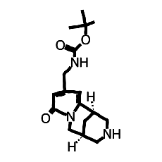 CC(C)(C)OC(=O)NCc1cc2n(c(=O)c1)C[C@@H]1CNC[C@H]2C1